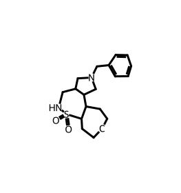 O=S1(=O)NCC2CN(Cc3ccccc3)CC2C2CCCCCC21